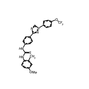 COc1ccc(NC(=S)Nc2ccc(-c3ncn(-c4ccc(OC(F)(F)F)cc4)n3)cc2)c(C)c1